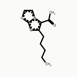 CCCCCc1nc2occn2c1C(C)=O